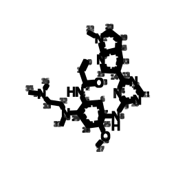 C=CC(=O)Nc1cc(Nc2ncnc(-c3cnc4c(ccn4C)c3)n2)c(OC)cc1N(C)CCN(C)C